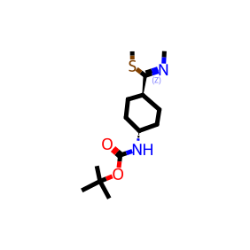 C/N=C(\SC)[C@H]1CC[C@H](NC(=O)OC(C)(C)C)CC1